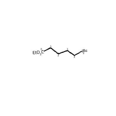 CCOC(=O)CCCCC(C)CC